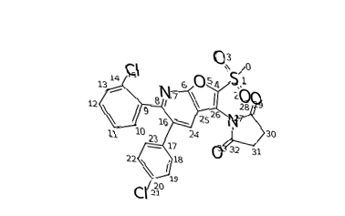 CS(=O)(=O)c1oc2nc(-c3ccccc3Cl)c(-c3ccc(Cl)cc3)cc2c1N1C(=O)CCC1=O